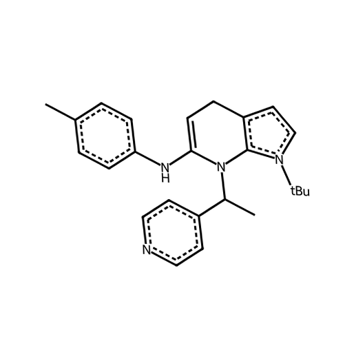 Cc1ccc(NC2=CCc3ccn(C(C)(C)C)c3N2C(C)c2ccncc2)cc1